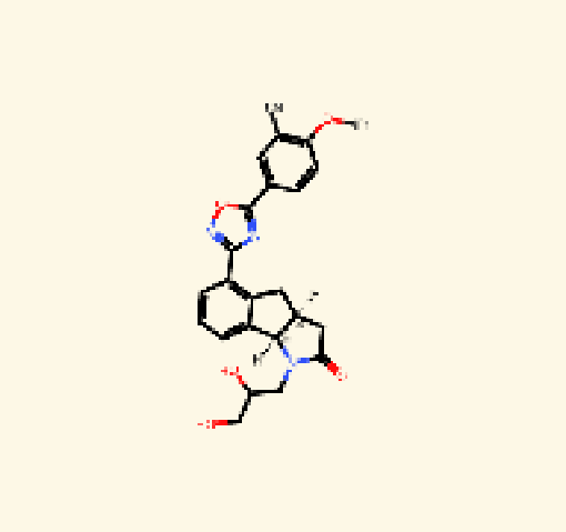 CC(C)Oc1ccc(-c2nc(-c3cccc4c3C[C@H]3CC(=O)N(CC(O)CO)[C@@H]43)no2)cc1C#N